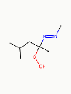 CN=NC(C)(CC(C)C)OO